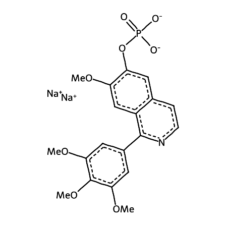 COc1cc2c(-c3cc(OC)c(OC)c(OC)c3)nccc2cc1OP(=O)([O-])[O-].[Na+].[Na+]